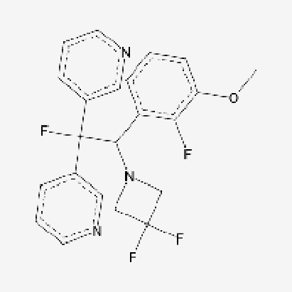 COc1cccc(C(N2CC(F)(F)C2)C(F)(c2cccnc2)c2cccnc2)c1F